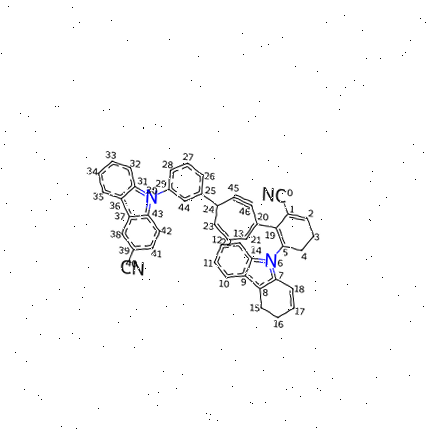 N#CC1=CCCC(n2c3c(c4ccccc42)CCC=C3)=C1C1=CC=CC(c2cccc(-n3c4ccccc4c4cc(C#N)ccc43)c2)C#C1